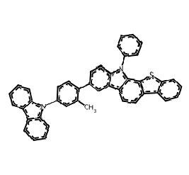 Cc1cc(-n2c3ccccc3c3ccccc32)ccc1-c1ccc2c(c1)c1ccc3c4ccccc4sc3c1n2-c1ccccc1